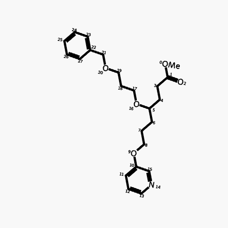 COC(=O)CCC(CCCOc1cccnc1)OCCCOCc1ccccc1